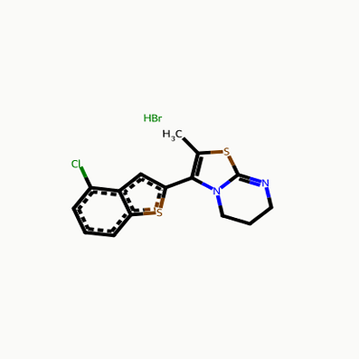 Br.CC1=C(c2cc3c(Cl)cccc3s2)N2CCCN=C2S1